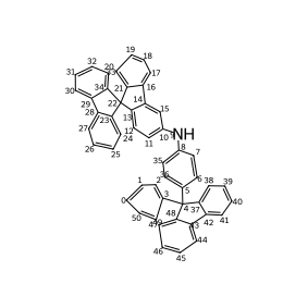 c1ccc(C2(c3ccc(Nc4ccc5c(c4)-c4ccccc4C54c5ccccc5-c5ccccc54)cc3)c3ccccc3-c3ccccc32)cc1